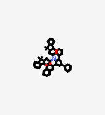 CC1(C)c2ccccc2-c2ccc(N(c3ccc4c(c3)C(C)(C)c3ccccc3-4)c3c(-c4ccccc4)cc(-c4ccccc4)cc3-c3ccc4ccccc4c3)cc21